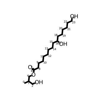 CC(CO)COC(=O)CCCCCCCCC(O)CCCCCCO